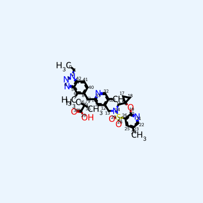 CCn1nnc2c(C)c([C@H](c3cc(CN4CC5(CC5)Oc5ncc(C)cc5S4(=O)=O)c(C)cn3)C(C)(C)C(=O)O)ccc21